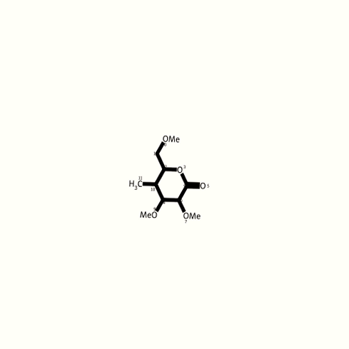 COCC1OC(=O)C(OC)C(OC)C1C